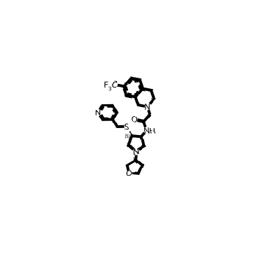 O=C(CN1CCc2ccc(C(F)(F)F)cc2C1)NC1CN(C2CCOC2)C[C@@H]1SCc1cccnc1